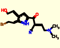 CN(C)C/C=C(\C#N)C(=O)c1cc(=C/CO)/c(=C\CBr)[nH]1